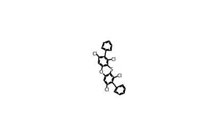 Clc1cc2c(c(Cl)c1-c1ccccc1)Sc1c(cc(Cl)c(-c3ccccc3)c1Cl)O2